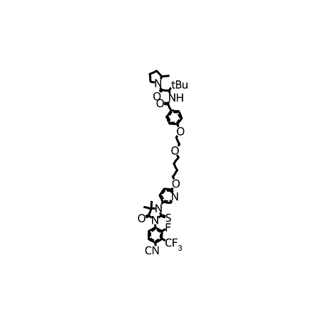 CC1CCCN1C(=O)C(NC(=O)c1ccc(OCCOCCCCOc2ccc(N3C(=S)N(c4ccc(C#N)c(C(F)(F)F)c4F)C(=O)C3(C)C)cn2)cc1)C(C)(C)C